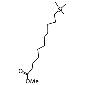 COC(=O)CCCCCCCCCC[Si](C)(C)C